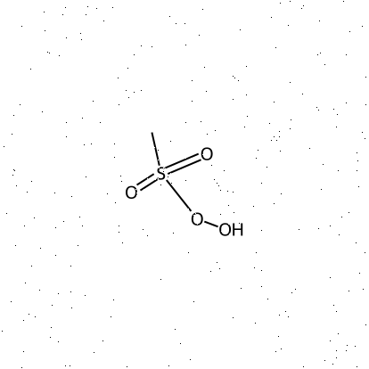 CS(=O)(=O)OO